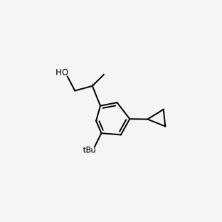 C[C](CO)c1cc(C2CC2)cc(C(C)(C)C)c1